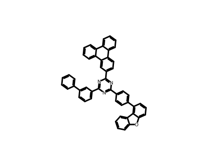 c1ccc(-c2cccc(-c3nc(-c4ccc(-c5cccc6oc7ccccc7c56)cc4)nc(-c4ccc5c6ccccc6c6ccccc6c5c4)n3)c2)cc1